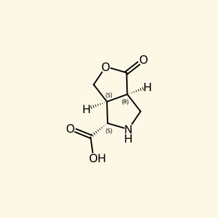 O=C1OC[C@H]2[C@@H]1CN[C@@H]2C(=O)O